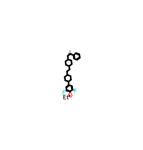 CCOc1c(F)cc(C2CCC(CCC3CCC(C[C@H](C)c4ccccc4)CC3)CC2)cc1F